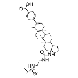 CC1C(c2ccc(C(=O)O)cc2)=CC[C@@]2(C)C1CCC1(C)C2CCC2C3CCCC3(NC(=O)NCCN[S+]([O-])N(C)C)CC[C@]21C